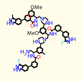 COc1cccc(C(CN2CCNC(c3cc(OC)cc(C(CN4CCNC(c5cc(C)cc(C(CN)NC(=O)c6cccc(-c7ccc8[nH]nc(F)c8c7)c6)c5)C4)NC(=O)c4cccc(-c5ccc6[nH]nc(F)c6c5)c4)c3)C2)NC(=O)c2cccc(-c3ccc4[nH]nc(C)c4c3)c2)c1